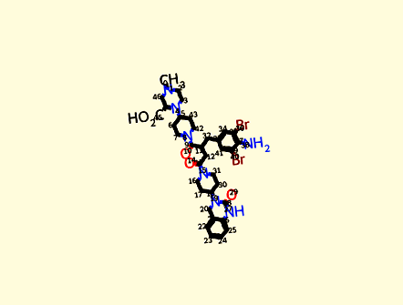 CN1CCN(C2CCN(C(=O)C(CC(=O)N3CCC(N4Cc5ccccc5NC4=O)CC3)Cc3cc(Br)c(N)c(Br)c3)CC2)C(C(=O)O)C1